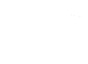 COc1cc(C)c(C(=O)CCCCCCCCCCCCCCCCCO)c(O)c1OC